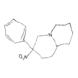 O=[N+]([O-])C1(c2ccccc2)CCC2CCCCN2C1